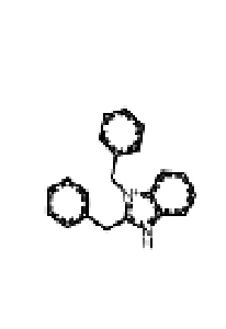 c1ccc(Cc2[nH]c3ccccc3[n+]2Cc2ccccc2)cc1